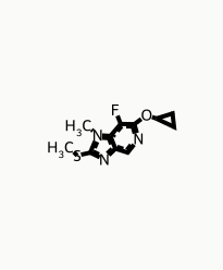 CSc1nc2cnc(OC3CC3)c(F)c2n1C